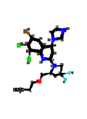 O=C(O)CCOC[C@@H]1CC(F)(F)CN1c1cc(-n2ccnc2)c2cc(Br)c(Cl)c(Cl)c2n1